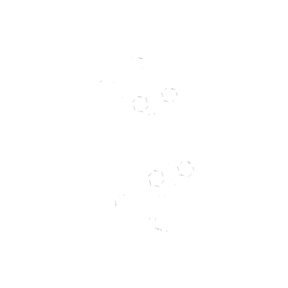 CC(=O)OCCOc1ccc2c(c1OCCOC(C)=O)Sc1ccccc1C21OCC(CCC2COC3(OC2)c2ccccc2Sc2c3ccc(OCCOC(C)=O)c2OCCOC(C)=O)CO1